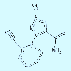 C#Cc1ccccc1-n1nc(C)cc1C(N)=O